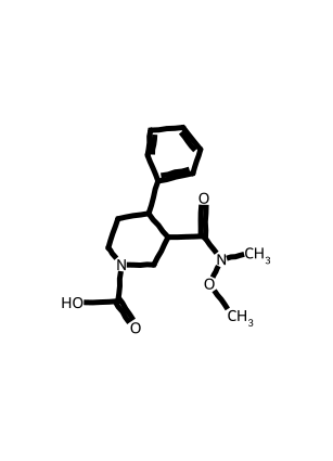 CON(C)C(=O)C1CN(C(=O)O)CCC1c1ccccc1